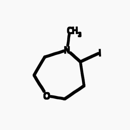 CN1CCOCCC1I